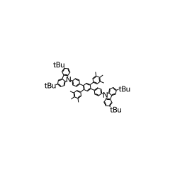 Cc1cc(-c2cc(-c3ccc(-n4c5ccc(C(C)(C)C)cc5c5cc(C(C)(C)C)ccc54)cc3)c(-c3cc(C)c(C)c(C)c3)cc2-c2ccc(-n3c4ccc(C(C)(C)C)cc4c4cc(C(C)(C)C)ccc43)cc2)cc(C)c1C